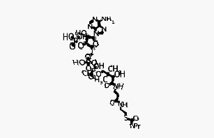 C.CCCC(=O)SCCNC(=O)CCNC(=O)C(O)C(C)(C)COP(=O)(O)OP(=O)(O)OC[C@H]1O[C@@H](n2cnc3c(N)ncnc32)[C@H](O)[C@@H]1OP(=O)(O)O